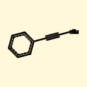 CC[CH]CC#Cc1ccccc1